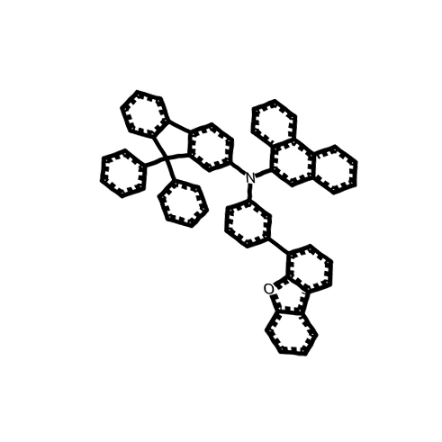 c1ccc(C2(c3ccccc3)c3ccccc3-c3ccc(N(c4cccc(-c5cccc6c5oc5ccccc56)c4)c4cc5ccccc5c5ccccc45)cc32)cc1